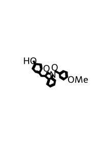 COc1ccc(C(=O)N2C(=O)C(Cc3ccc(O)cc3)c3ccccc32)cc1